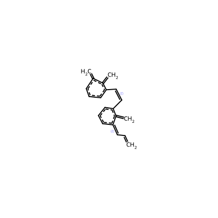 C=C/C=c1/cccc(/C=C\c2cccc(=C)c2=C)c1=C